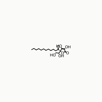 CCCCCCCCCCCC(=O)[C@]1([C@@H](O)CO)OC(=O)C(O)=C1O